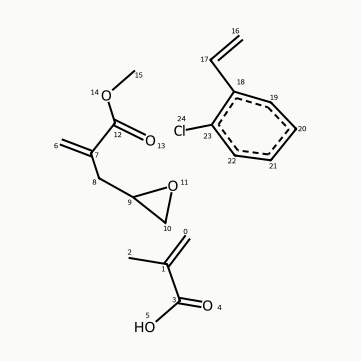 C=C(C)C(=O)O.C=C(CC1CO1)C(=O)OC.C=Cc1ccccc1Cl